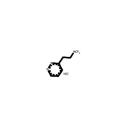 Cl.FC(F)(F)NCCc1cccnn1